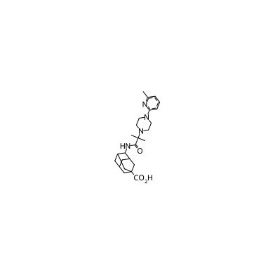 Cc1cccc(N2CCN(C(C)(C)C(=O)NC3C4CC5CC3CC(C(=O)O)(C5)C4)CC2)n1